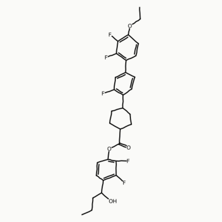 CCCC(O)c1ccc(OC(=O)C2CCC(c3ccc(-c4ccc(OCC)c(F)c4F)cc3F)CC2)c(F)c1F